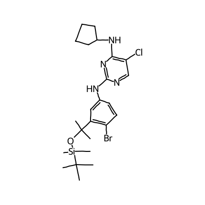 CC(C)(O[Si](C)(C)C(C)(C)C)c1cc(Nc2ncc(Cl)c(NC3CCCC3)n2)ccc1Br